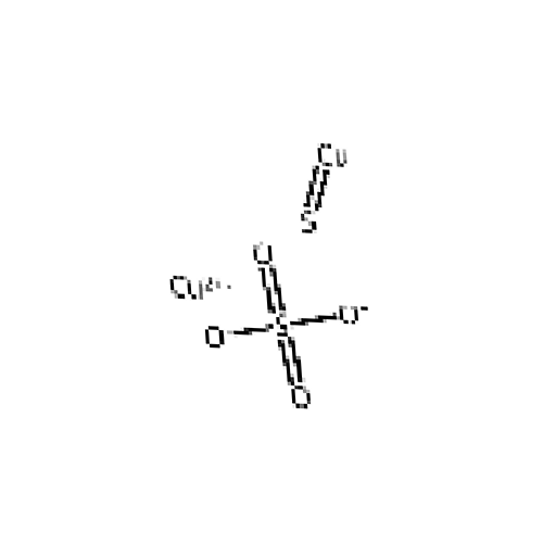 O=S(=O)([O-])[O-].[Cu+2].[S]=[Cu]